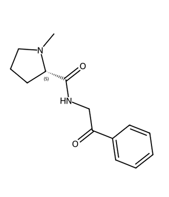 CN1CCC[C@H]1C(=O)NCC(=O)c1ccccc1